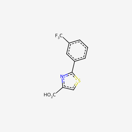 O=C(O)c1csc(-c2cccc(C(F)(F)F)c2)n1